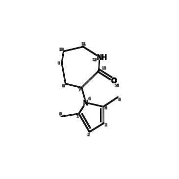 Cc1ccc(C)n1C1CCCCNC1=O